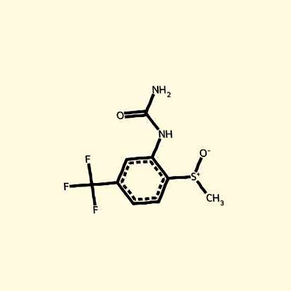 C[S+]([O-])c1ccc(C(F)(F)F)cc1NC(N)=O